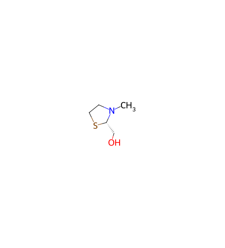 CN1CCS[C@H]1CO